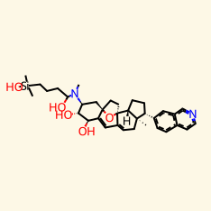 CN(C(O)CCC[Si](C)(C)O)[C@H]1C[C@@]23CC[C@@]4(O2)C(=CC[C@]2(C)[C@@H](c5ccc6ccncc6c5)CC[C@H]24)C=C3[C@@H](O)[C@@H]1O